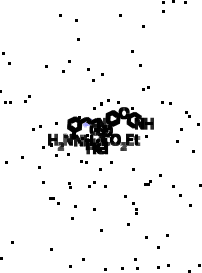 CCOC(=O)CS(=O)(=O)N(C/C=C/c1cccc(C(=N)N)c1)c1ccc(OC2CCNCC2)cc1.Cl.Cl